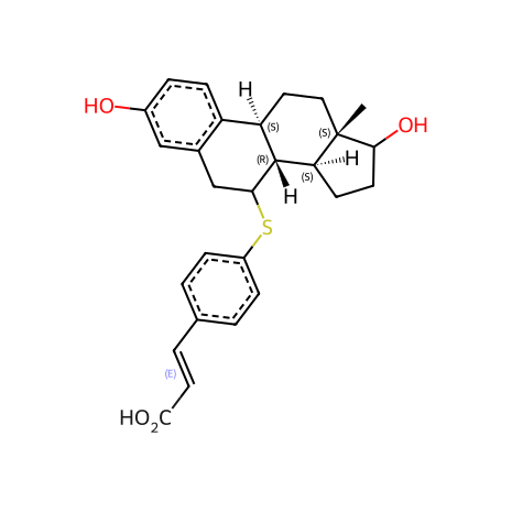 C[C@]12CC[C@@H]3c4ccc(O)cc4CC(Sc4ccc(/C=C/C(=O)O)cc4)[C@H]3[C@@H]1CCC2O